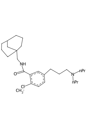 CCCN(CCC)CCCc1ccc(Cl)c(C(=O)NCC23CCCC(CCC2)C3)c1.[CH2]